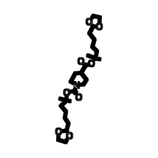 CC(C)(CCCCC1OCCO1)OC(=O)C1CCN(C(=O)OC(C)(C)CCCCC2OCCO2)CC1